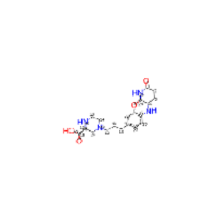 O=C1CCC(Nc2ccc(CCCN3CCN[C@H](C(=O)O)C3)cc2)C(=O)N1